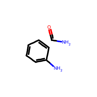 NC=O.Nc1ccccc1